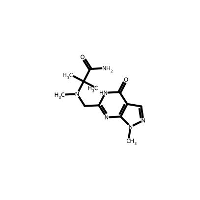 CN(Cc1nc2c(cnn2C)c(=O)[nH]1)C(C)(C)C(N)=O